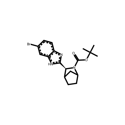 CC(C)(C)OC(=O)N1C2CCC(C2)[C@H]1c1nc2ccc(Br)cc2[nH]1